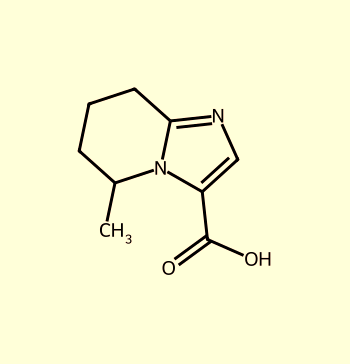 CC1CCCc2ncc(C(=O)O)n21